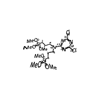 CO[Si](CCCN(CCC[Si](OC)(OC)OC)c1nc(Cl)nc(Cl)n1)(OC)OC